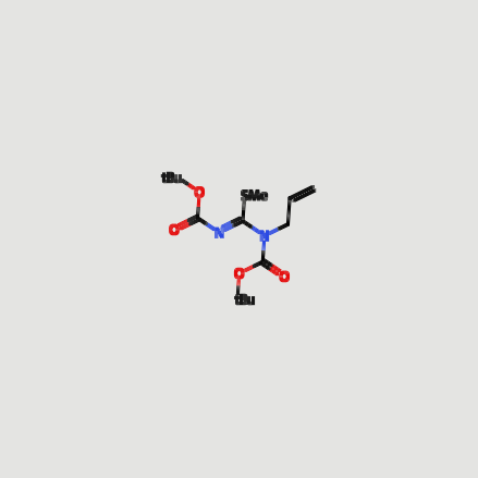 C=CCN(C(=O)OC(C)(C)C)C(=NC(=O)OC(C)(C)C)SC